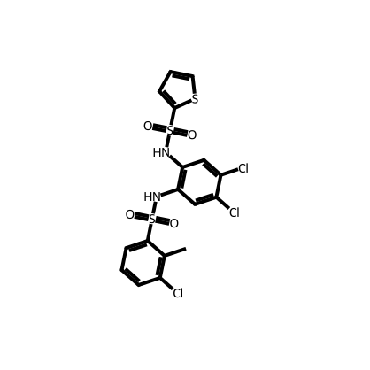 Cc1c(Cl)cccc1S(=O)(=O)Nc1cc(Cl)c(Cl)cc1NS(=O)(=O)c1cccs1